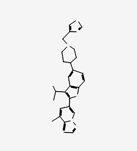 Cc1cc(-c2[nH]c3ccc(C4CCN(Cc5cscn5)CC4)cc3c2C(C)C)cn2ncnc12